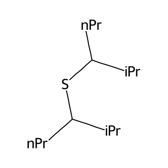 CCCC(SC(CCC)C(C)C)C(C)C